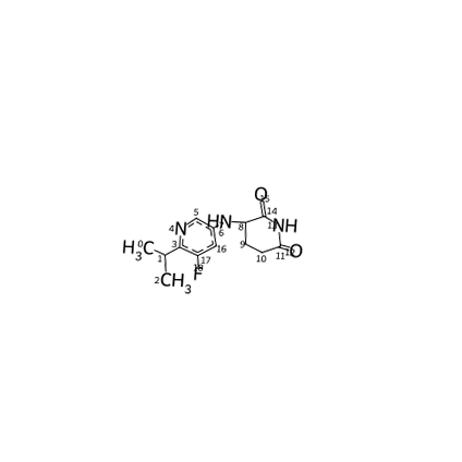 CC(C)c1ncc(NC2CCC(=O)NC2=O)cc1F